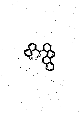 O=COC(c1cccc2ccccc12)C1CCCc2ccc3c(ccc4ccccc43)c21